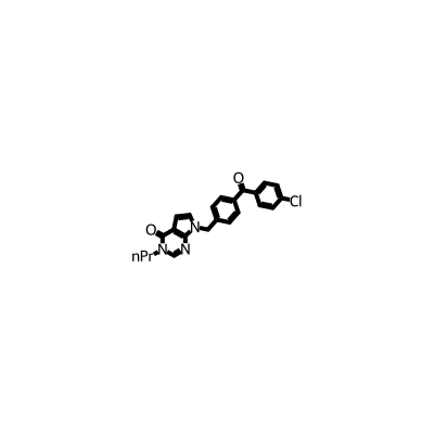 CCCn1cnc2c(ccn2Cc2ccc(C(=O)c3ccc(Cl)cc3)cc2)c1=O